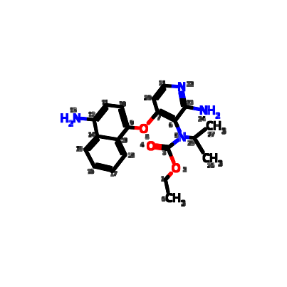 CCOC(=O)N(c1c(Oc2ccc(N)c3ccccc23)ccnc1N)C(C)C